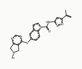 C=C(C)c1cc(NC(=O)n2ccc3cc(Oc4ncnc5c4CN(C(C)=O)C5)ccc32)no1